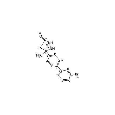 CC1(c2ccc(-c3cccc(Br)c3)cc2)CC(=O)NN1